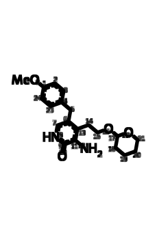 COc1ccc(Cc2c[nH]c(=O)c(N)c2CCOC2CCCCO2)cc1